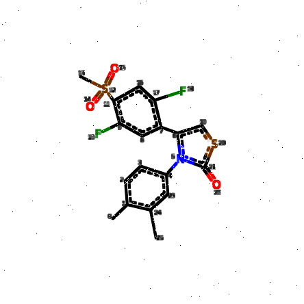 Cc1ccc(-n2c(-c3cc(F)c(S(C)(=O)=O)cc3F)csc2=O)cc1C